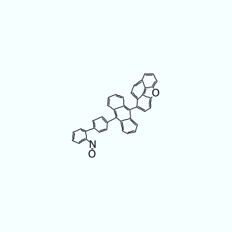 O=Nc1ccccc1-c1ccc(-c2c3ccccc3c(-c3ccc4oc5cccc6ccc3c4c65)c3ccccc23)cc1